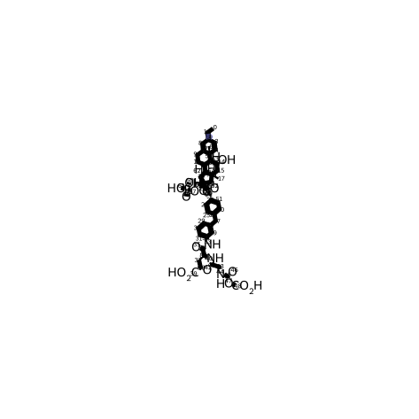 C/C=C1\C=C[C@@]2(C)C(=C1)CC[C@@H]1[C@@H]2[C@@H](O)C[C@@]2(C)[C@H]1C[C@H]1O[C@@H](c3ccc(Cc4cccc(NC(=O)[C@H](CCC(=O)O)NC(=O)CNC(=O)OC(=O)O)c4)cc3)O[C@]12C(=O)COP(=O)(O)O